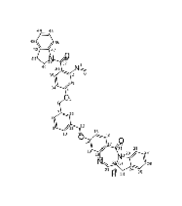 C=Nc1cc(OCc2cccc(COc3ccc4c(c3)N=C[C@@H]3Cc5ccccc5N3C4=O)c2)ccc1C(=O)N1CCc2ccccc21